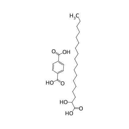 CCCCCCCCCCCCCCCCC(O)C(=O)O.O=C(O)c1ccc(C(=O)O)cc1